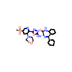 CS(=O)(=O)c1cnc(-c2nnc(N[C@H]3N=C(c4ccccc4)c4ccccc4NC3=O)o2)c(N2CCOCC2)c1